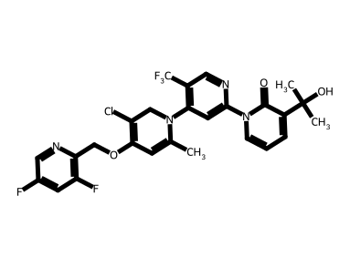 CC1=CC(OCc2ncc(F)cc2F)=C(Cl)CN1c1cc(-n2cccc(C(C)(C)O)c2=O)ncc1C(F)(F)F